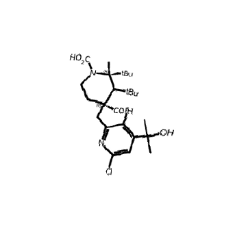 CC(C)(O)c1cc(Cl)nc(C[C@]2(C(=O)O)CCN(C(=O)O)[C@@](C)(C(C)(C)C)C2C(C)(C)C)c1F